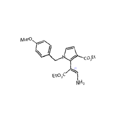 CCOC(=O)/C(=C\N)c1c(C(=O)OCC)ccn1Cc1ccc(OC)cc1